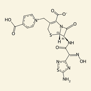 Nc1nc(C(=NO)C(=O)N[C@@H]2C(=O)N3C(C(=O)[O-])=C(C[n+]4ccc(C(=O)O)cc4)CS[C@@H]23)ns1